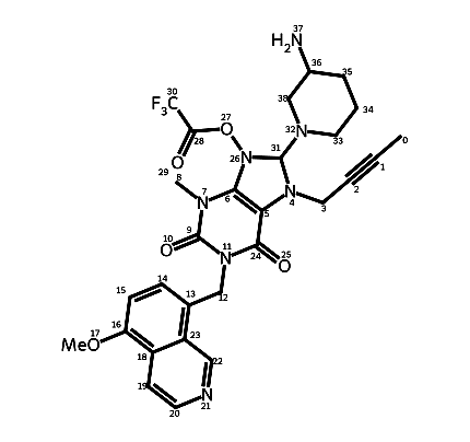 CC#CCN1c2c(n(C)c(=O)n(Cc3ccc(OC)c4ccncc34)c2=O)N(OC(=O)C(F)(F)F)C1N1CCCC(N)C1